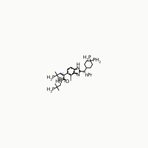 BC(C)(P)/C=C(\C(=O)NCC(C)(C)P)c1ccc2[nH]c([C@@H](CCC)C3CCC(P)(P)CC3)nc2c1I